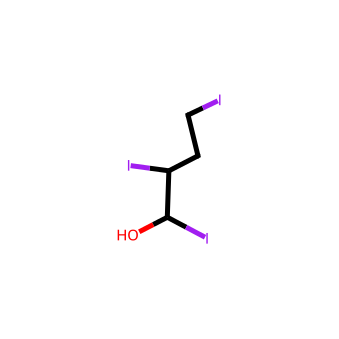 OC(I)C(I)CCI